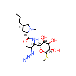 CCC[C@@H]1C[C@@H](C(=O)N[C@H](C(C)N=[N+]=[N-])[C@H]2OC(SC)[C@H](O)C(O)[C@@H]2O)N(C)C1